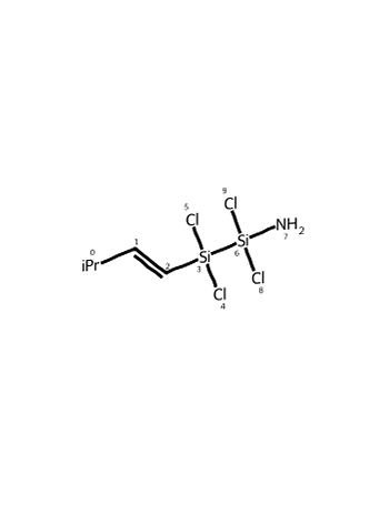 CC(C)C=C[Si](Cl)(Cl)[Si](N)(Cl)Cl